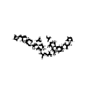 CC(C)C[C@@H]1NCCN([C@@H](CC(C)CCC(C)C[C@@H]2NCCN([C@@H](CC(C)C)C(=O)N3CCC4(CC3)OCC(CN3CCC3)CO4)C2=O)C(=O)N2CCC3(CC2)OCC(CN2CCCC2)CO3)C1=O